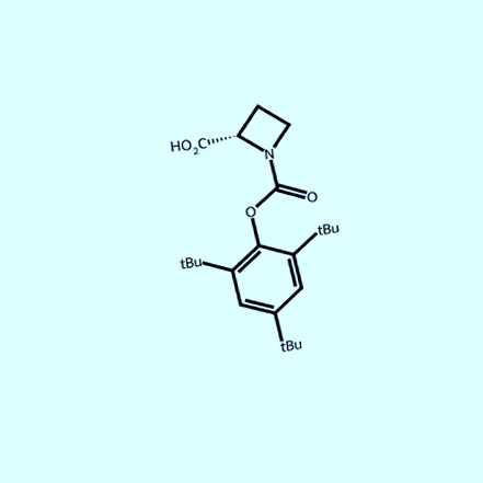 CC(C)(C)c1cc(C(C)(C)C)c(OC(=O)N2CC[C@H]2C(=O)O)c(C(C)(C)C)c1